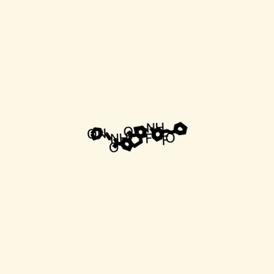 O=C(Cc1cc(Nc2ccc3c(c2)CCc2ccc(C(=O)NCCN4CCOCC4)cc2C3=O)c(F)cc1F)c1ccccc1